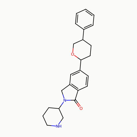 O=C1c2ccc(C3CCC(c4ccccc4)CO3)cc2CN1C1CCCNC1